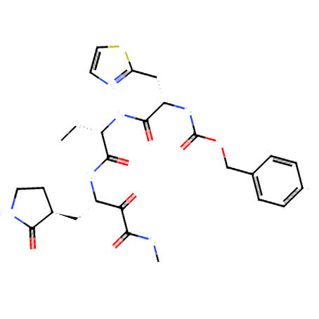 CCCCNC(=O)C(=O)[C@H](C[C@@H]1CCNC1=O)NC(=O)[C@H](CC(C)C)NC(=O)[C@H](Cc1nccs1)NC(=O)OCc1ccccc1